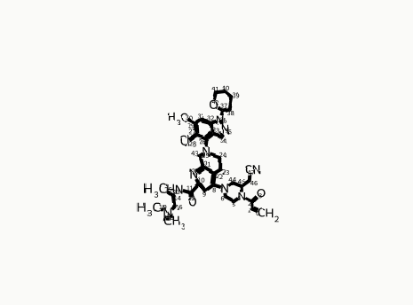 C=CC(=O)N1CCN(c2cc(C(=O)NC(C)CN(C)C)nc3c2CCN(c2c(Cl)c(C)cc4c2cnn4C2CCCCO2)C3)CC1CC#N